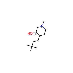 CN1CCC(CCC(C)(C)C)[C@H](O)C1